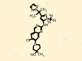 [2H]C([2H])([2H])n1nc(C(C)(C)n2nccn2)cc1Nc1ncc2cc(Cl)c(N3CCC(C)(O)CC3)cc2n1